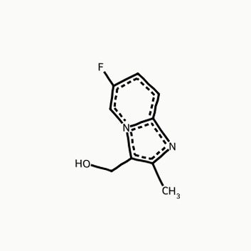 Cc1nc2ccc(F)cn2c1CO